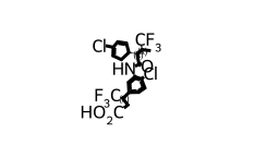 C[C@H]([C@H](C(=O)Nc1cc([C@@H](CC(=O)O)C(F)(F)F)ccc1Cl)C1C=CC(Cl)=CC1)C(F)(F)F